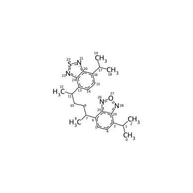 CC(C)c1ccc(C(C)CCC(C)c2ccc(C(C)C)c3nsnc23)c2nonc12